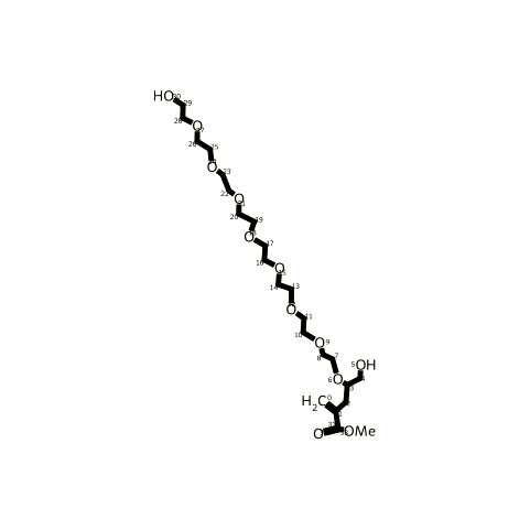 C=C(CC(CO)OCCOCCOCCOCCOCCOCCOCCOCCO)C(=O)OC